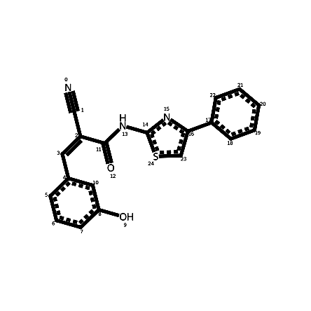 N#CC(=Cc1cccc(O)c1)C(=O)Nc1nc(-c2ccccc2)cs1